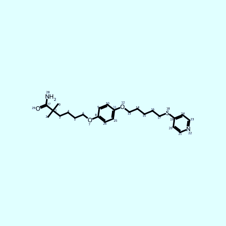 CC(C)(CCCCOc1ccc(OCCCCCSc2ccncc2)cc1)C(N)=O